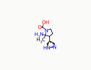 CC1(N)C(c2cn[nH]c2)CCN1C(=O)O